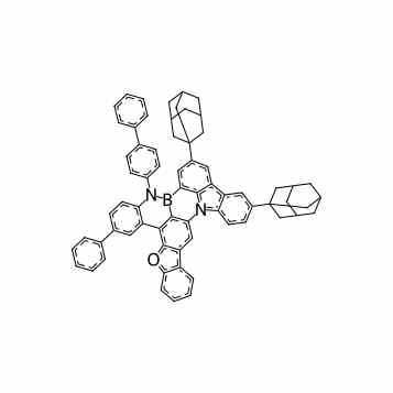 c1ccc(-c2ccc(N3B4c5c(cc6c(oc7ccccc76)c5-c5cc(-c6ccccc6)ccc53)-n3c5ccc(C67CC8CC(CC(C8)C6)C7)cc5c5cc(C67CC8CC(CC(C8)C6)C7)cc4c53)cc2)cc1